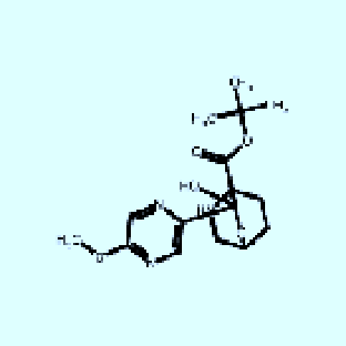 COc1cnc(C2(O)CC3CCC2(C(=O)OC(C)(C)C)NC3)cn1